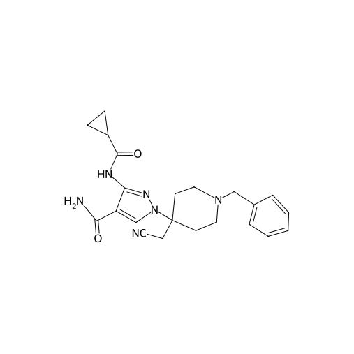 N#CCC1(n2cc(C(N)=O)c(NC(=O)C3CC3)n2)CCN(Cc2ccccc2)CC1